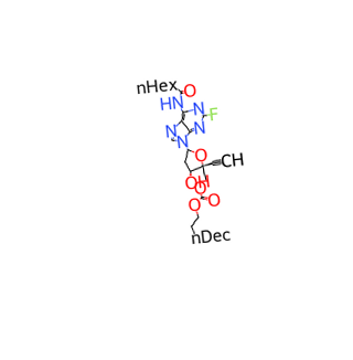 C#C[C@]1(COC(=O)OCCCCCCCCCCCC)O[C@@H](n2cnc3c(NC(=O)CCCCCC)nc(F)nc32)C[C@@H]1O